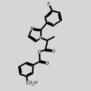 CC(C(=O)OC(=O)c1cccc(C(=O)O)c1)n1ccnc1-c1cccc(F)c1